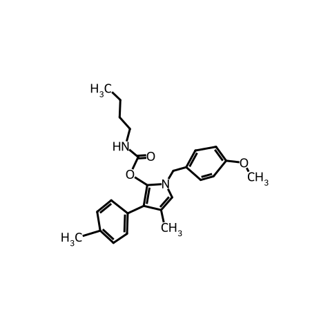 CCCCNC(=O)Oc1c(-c2ccc(C)cc2)c(C)cn1Cc1ccc(OC)cc1